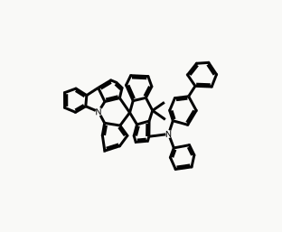 CC1(C)c2ccccc2C2(c3ccccc3-n3c4ccccc4c4cccc2c43)c2cccc(N(c3ccccc3)c3ccc(-c4ccccc4)cc3)c21